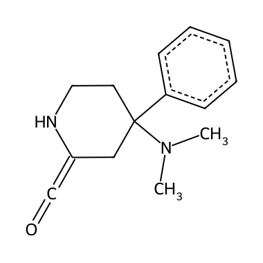 CN(C)C1(c2ccccc2)CCNC(=C=O)C1